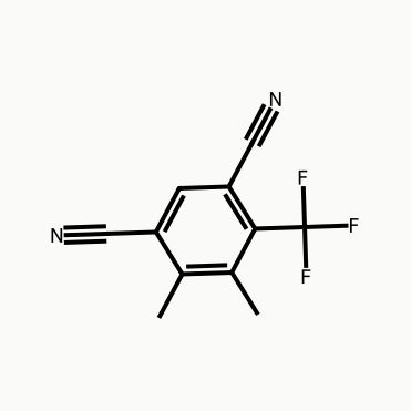 Cc1c(C#N)cc(C#N)c(C(F)(F)F)c1C